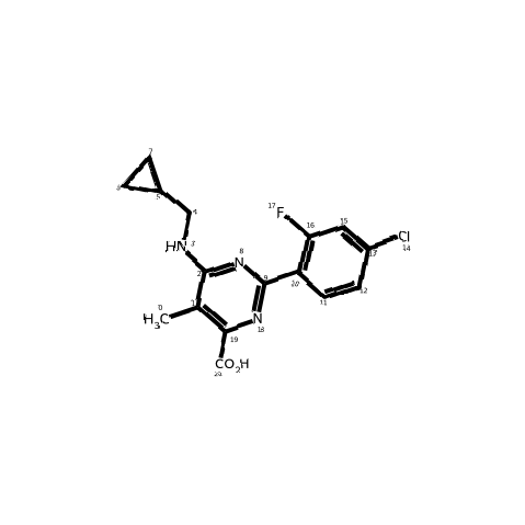 Cc1c(NCC2CC2)nc(-c2ccc(Cl)cc2F)nc1C(=O)O